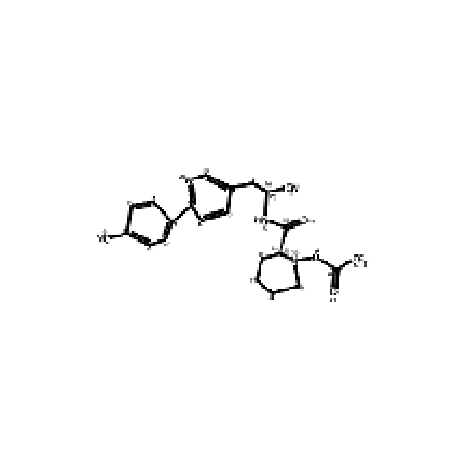 N#Cc1ccc(-c2ccc(C[C@@H](C#N)NC(=O)[C@@H]3CCCCN3OC(=O)C(F)(F)F)cn2)cc1